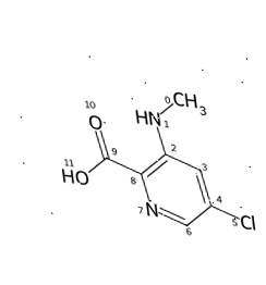 CNc1cc(Cl)cnc1C(=O)O